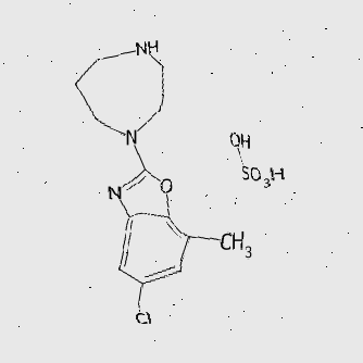 Cc1cc(Cl)cc2nc(N3CCCNCC3)oc12.O=S(=O)(O)O